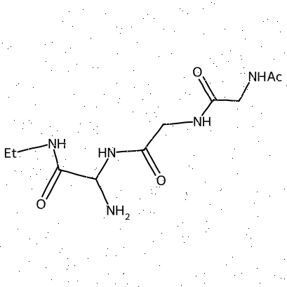 CCNC(=O)C(N)NC(=O)CNC(=O)CNC(C)=O